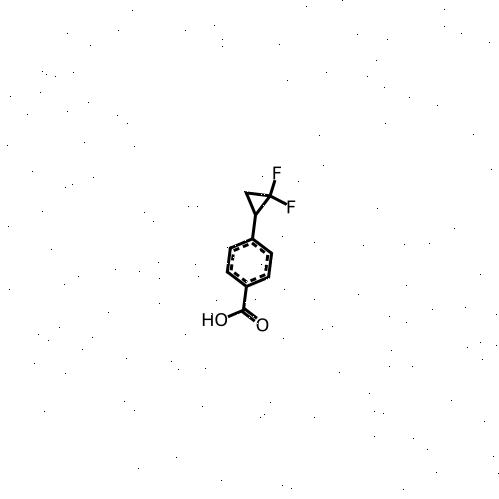 O=C(O)c1ccc(C2CC2(F)F)cc1